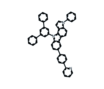 c1ccc(-c2cc(-c3ccccc3)cc(-n3c4ccc(-c5ccc(-c6ccccn6)cc5)cc4c4ccc5c(ccn5-c5ccccc5)c43)c2)cc1